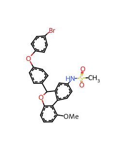 COc1cccc2c1-c1ccc(NS(C)(=O)=O)cc1C(c1ccc(Oc3ccc(Br)cc3)cc1)O2